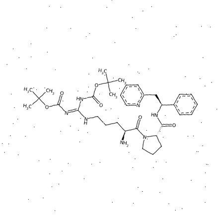 CC(C)(C)OC(=O)/N=C(/NCCC[C@H](N)C(=O)N1CCC[C@H]1C(=O)N[C@@H](Cc1ccccn1)c1ccccc1)NC(=O)OC(C)(C)C